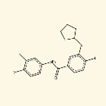 Cc1cc(NC(=O)c2ccc(I)c(SC3CCCC3)c2)ccc1F